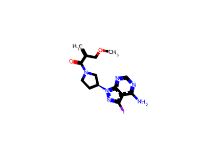 C=C(COC)C(=O)N1CC[C@H](n2nc(I)c3c(N)ncnc32)C1